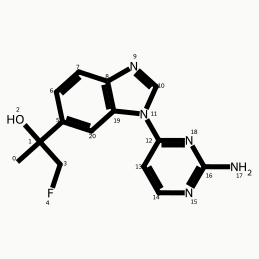 CC(O)(CF)c1ccc2ncn(-c3ccnc(N)n3)c2c1